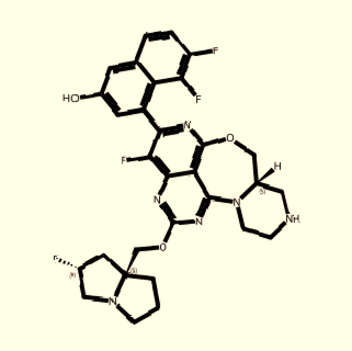 Oc1cc(-c2nc3c4c(nc(OC[C@@]56CCCN5C[C@H](F)C6)nc4c2F)N2CCNC[C@H]2CO3)c2c(F)c(F)ccc2c1